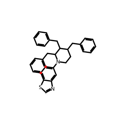 [c]1nc2cc(N3CCC(Cc4ccccc4)C(Cc4ccccc4)C3Cc3ccccc3)ccc2s1